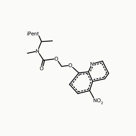 CCCC(C)C(C)N(C)C(=O)OCOc1ccc([N+](=O)[O-])c2cccnc12